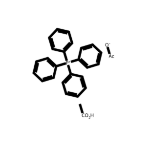 CC(=O)O.CC(=O)[O-].c1ccc([P+](c2ccccc2)(c2ccccc2)c2ccccc2)cc1